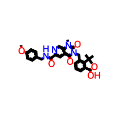 COc1ccc(CNC(=O)c2cc3c(=O)n(Cc4cccc(C(=O)O)c4C(C)(C)C)c(=O)n(C)c3cn2)cc1